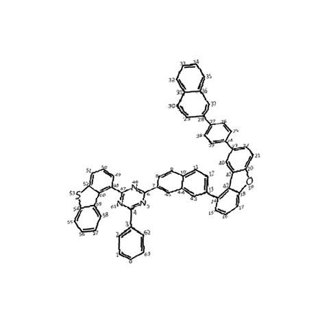 c1ccc(-c2nc(-c3ccc4ccc(-c5cccc6oc7ccc(-c8ccc(-c9ccc%10ccccc%10c9)cc8)cc7c56)cc4c3)nc(-c3cccc4sc5ccccc5c34)n2)cc1